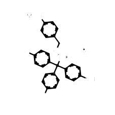 CC(=O)[O-].COc1ccc(CO[P+](=O)C(c2ccc(C)cc2)(c2ccc(C)cc2)c2ccc(C)cc2)cc1